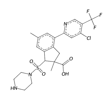 Cc1cc(-c2cc(Cl)c(C(F)(F)F)cn2)c2c(c1)C(S(=O)(=O)N1CCNCC1)C(C)(C(=O)O)C2